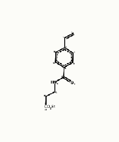 C=Cc1ccc(C(=O)NCCC(=O)OCC)cc1